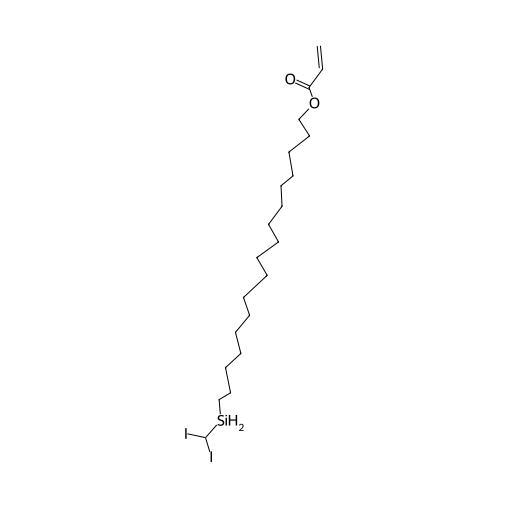 C=CC(=O)OCCCCCCCCCCCCCCCCC[SiH2]C(I)I